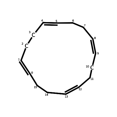 C1=CCCC=CCCC=CCCC=CCC1